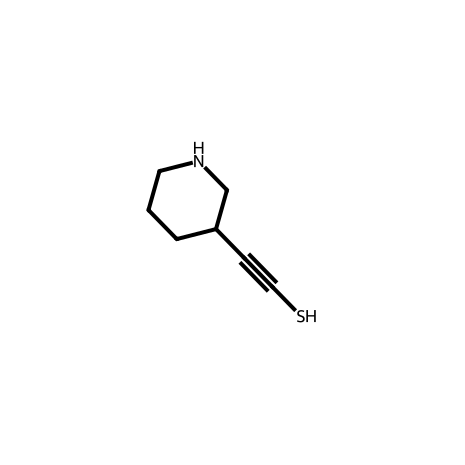 SC#CC1CCCNC1